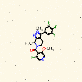 COc1cncc(F)c1C(=O)N1CCc2c(nn(C)c2-c2cc(F)c(F)c(F)c2)[C@@H]1C